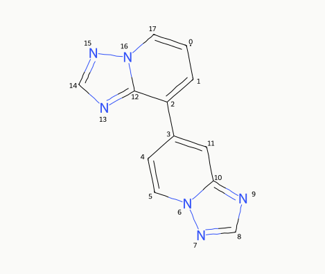 [c]1cc(-c2ccn3ncnc3c2)c2ncnn2c1